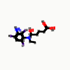 CCN(c1c(I)cc(I)c(N)c1I)C(O)CCCC(=O)O